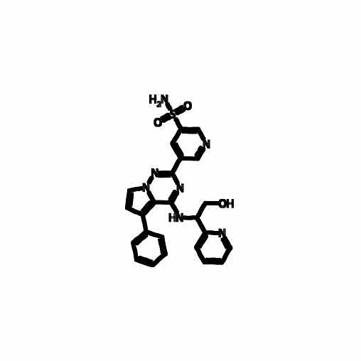 NS(=O)(=O)c1cncc(-c2nc(NC(CO)c3ccccn3)c3c(-c4ccccc4)ccn3n2)c1